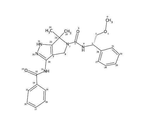 COC[C@@H](NC(=O)N1Cc2c(NC(=O)c3ccccc3)n[nH]c2C1(C)C)c1ccccc1